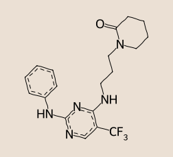 O=C1CCCCN1CCCNc1nc(Nc2ccccc2)ncc1C(F)(F)F